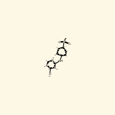 CS(=O)(=O)c1ccc(Nc2ncnc(Cl)n2)cc1